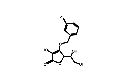 O=C1O[C@H]([C@@H](O)CO)C(OCc2cccc(Cl)c2)=C1O